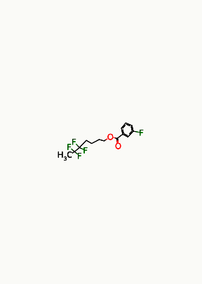 CC(F)(F)C(F)(F)CCCCOC(=O)c1cccc(F)c1